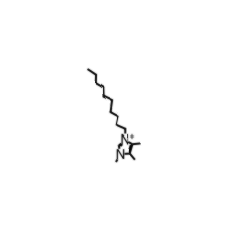 CCCCCCCCCC[n+]1cn(C)c(C)c1C